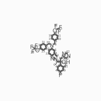 C[C@@H](n1cc2cc(N(Cc3ccc(OC(F)(F)F)cc3)Cc3ccc(OC(F)(F)F)cc3)ccc2n1)[C@](O)(Cn1cncn1)c1ccc(F)cc1F